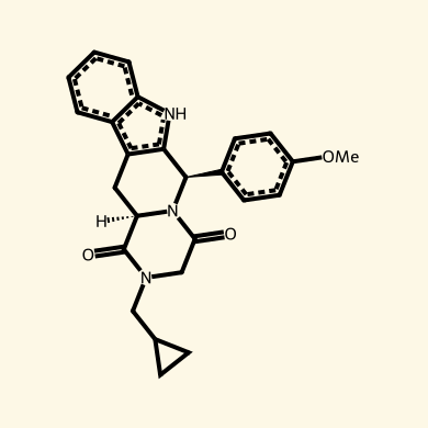 COc1ccc([C@@H]2c3[nH]c4ccccc4c3C[C@@H]3C(=O)N(CC4CC4)CC(=O)N23)cc1